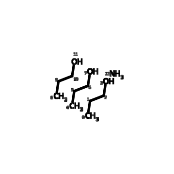 CCCO.CCCO.CCCO.N